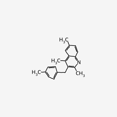 Cc1ccc(Cc2c(C)nc3ccc(C)cc3c2C)cc1